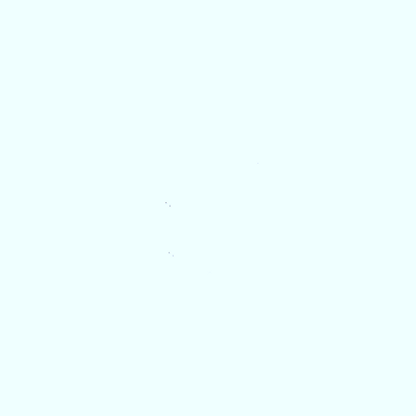 Clc1nc(Cl)c2cc3sc4ccccc4c3cc2n1